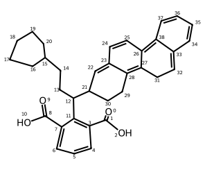 O=C(O)c1cccc(C(=O)O)c1C(CCC1CCCCC1)C1C=c2ccc3c(c2CC1)CC=c1ccccc1=3